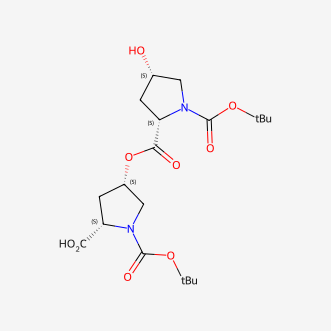 CC(C)(C)OC(=O)N1C[C@@H](OC(=O)[C@@H]2C[C@H](O)CN2C(=O)OC(C)(C)C)C[C@H]1C(=O)O